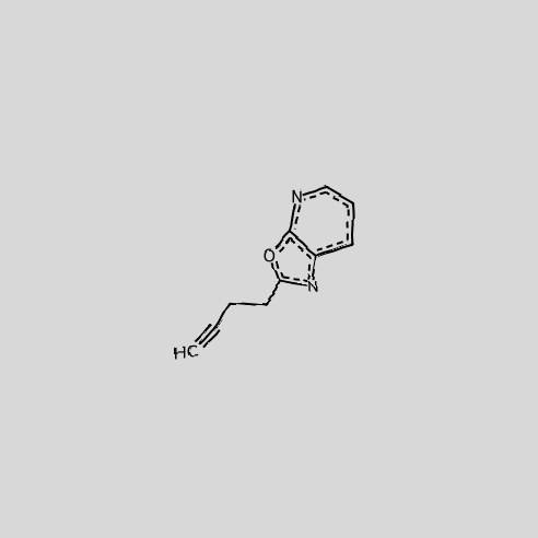 C#CCCc1nc2cccnc2o1